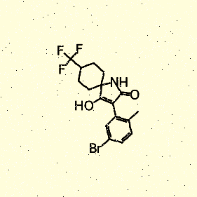 Cc1ccc(Br)cc1C1=C(O)C2(CCC(C(F)(F)F)CC2)NC1=O